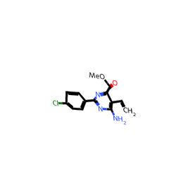 C=Cc1c(N)nc(-c2ccc(Cl)cc2)nc1C(=O)OC